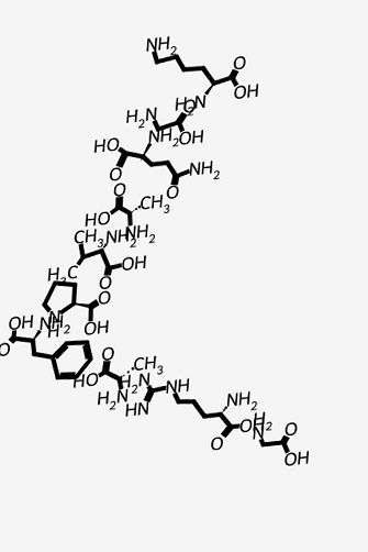 CC(C)[C@H](N)C(=O)O.C[C@H](N)C(=O)O.C[C@H](N)C(=O)O.N=C(N)NCCC[C@H](N)C(=O)O.NC(=O)CC[C@H](N)C(=O)O.NCC(=O)O.NCC(=O)O.NCCCC[C@H](N)C(=O)O.N[C@@H](Cc1ccccc1)C(=O)O.O=C(O)[C@@H]1CCCN1